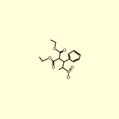 CCOC(=O)C(C(=O)OCC)C(c1ccccc1)C(C)[N+](=O)[O-]